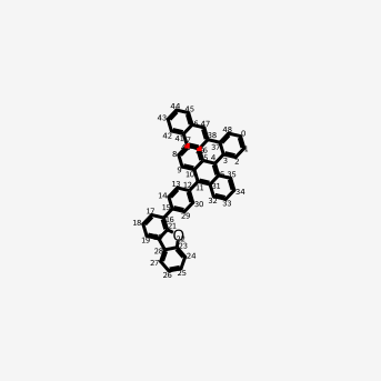 c1ccc(-c2c3ccccc3c(-c3ccc(-c4cccc5c4oc4ccccc45)cc3)c3ccccc23)c(-c2ccc3ccccc3c2)c1